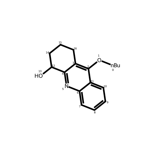 CCCCOc1c2c(nc3ccccc13)C(O)CCC2